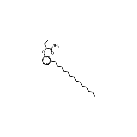 CCCCCCCCCCCCCCc1cccc(OC(CC)C(N)=O)c1